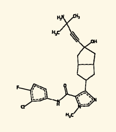 Cn1cnc(C2CC3CC(O)(C#CC(C)(C)N)CC3C2)c1C(=O)Nc1ccc(F)c(Cl)c1